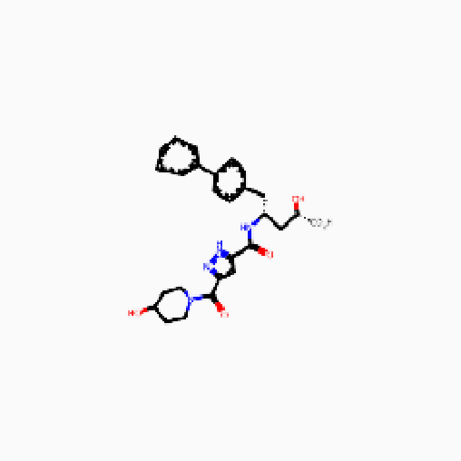 O=C(N[C@H](Cc1ccc(-c2ccccc2)cc1)C[C@H](O)C(=O)O)c1cc(C(=O)N2CCC(O)CC2)n[nH]1